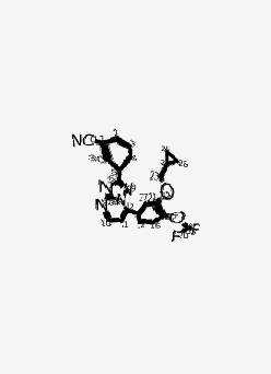 N#Cc1cccc(-c2nc3nccc(-c4ccc(OC(F)F)c(OCC5CC5)c4)n3n2)c1